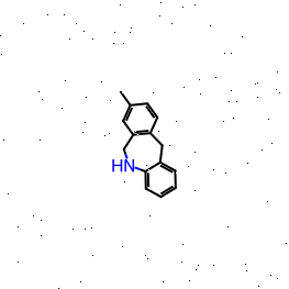 Cc1ccc2c(c1)CNc1ccccc1C2